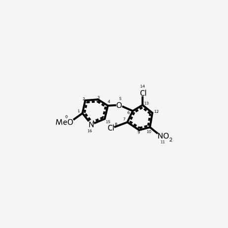 COc1ccc(Oc2c(Cl)cc([N+](=O)[O-])cc2Cl)cn1